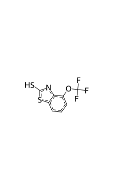 FC(F)(F)Oc1cccc2sc(S)nc12